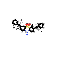 CC(C)(c1ccccc1)c1ccc2c(c1)S(=O)(=O)c1cc(C(C)(C)c3ccccc3)ccc1N2